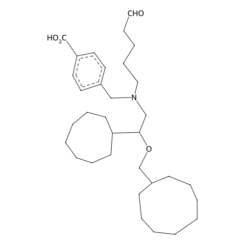 O=CCCCCN(Cc1ccc(C(=O)O)cc1)CC(OCC1CCCCCCCC1)C1CCCCCCC1